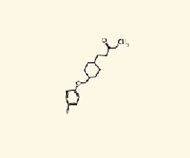 CCC(=O)CCC1CCC(COc2ccc(F)cc2)CC1